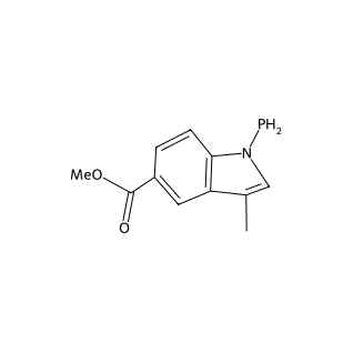 COC(=O)c1ccc2c(c1)c(C)cn2P